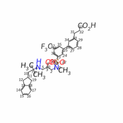 CN(C[C@H](O)CNC(C)(C)CC1Cc2ccccc2C1)S(=O)(=O)c1cc(-c2cccc(CCC(=O)O)c2)cc(C(F)(F)F)c1